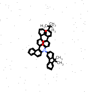 CC(C)(C)c1ccc(-c2ccc(N(c3ccc4c(c3)-c3ccccc3C4(C)C)c3ccc4ccccc4c3-c3ccc(-c4ccccc4)cc3)cc2)cc1